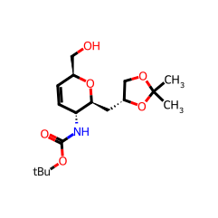 CC(C)(C)OC(=O)N[C@@H]1C=C[C@@H](CO)O[C@H]1C[C@@H]1COC(C)(C)O1